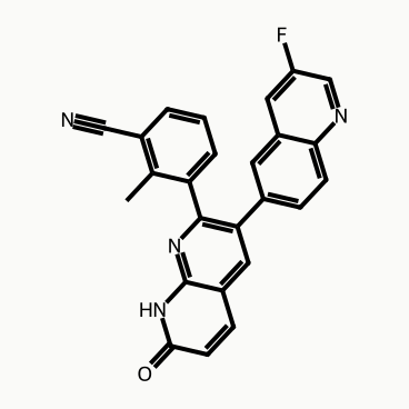 Cc1c(C#N)cccc1-c1nc2[nH]c(=O)ccc2cc1-c1ccc2ncc(F)cc2c1